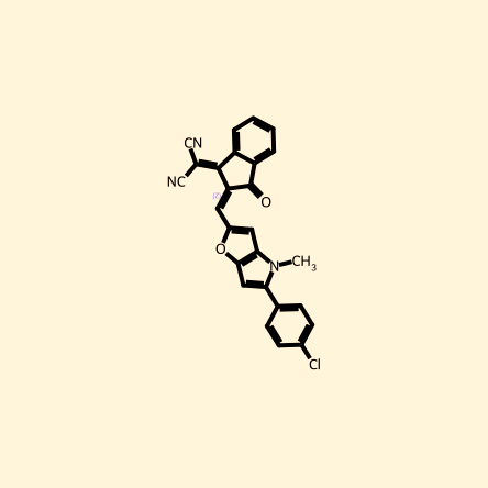 Cn1c(-c2ccc(Cl)cc2)cc2oc(/C=C3\C(=O)c4ccccc4C3=C(C#N)C#N)cc21